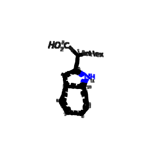 CCCCCCC(C(=O)O)c1cc2ccccc2[nH]1